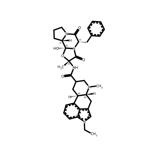 CCn1cc2c3c(cccc31)[C@H]1CC(C(=O)N[C@]3(C)O[C@@]4(O)[C@@H]5CCCN5C(=O)[C@H](Cc5ccccc5)N4C3=O)CN(C)[C@@H]1C2